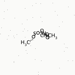 CCCCc1ccc(Sc2ccc(C(=O)/C(C)=N/COC(C)=O)cc2)cc1